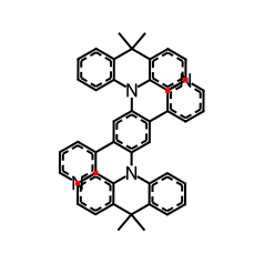 CC1(C)c2ccccc2N(c2cc(-c3cccnc3)c(N3c4ccccc4C(C)(C)c4ccccc43)cc2-c2cccnc2)c2ccccc21